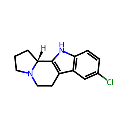 Clc1ccc2[nH]c3c(c2c1)CCN1CCC[C@H]31